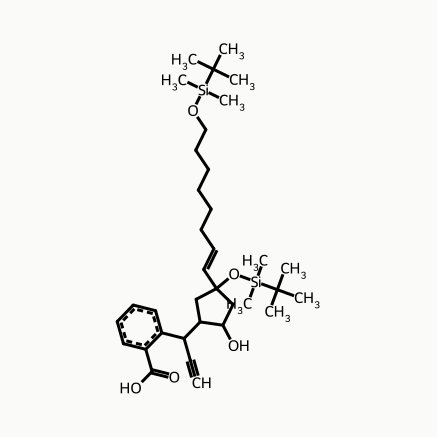 C#CC(c1ccccc1C(=O)O)C1CC(C=CCCCCCCO[Si](C)(C)C(C)(C)C)(O[Si](C)(C)C(C)(C)C)CC1O